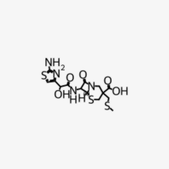 CSCC1(C(=O)O)CS[C@@H]2C(NC(=O)C(O)c3csc(N)n3)C(=O)N2C1